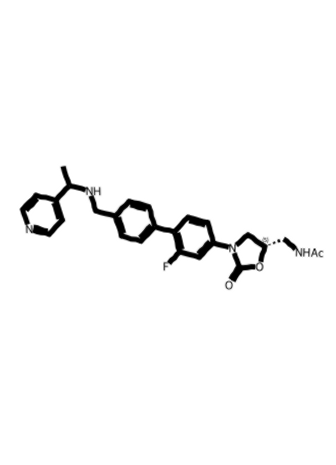 CC(=O)NC[C@H]1CN(c2ccc(-c3ccc(CNC(C)c4ccncc4)cc3)c(F)c2)C(=O)O1